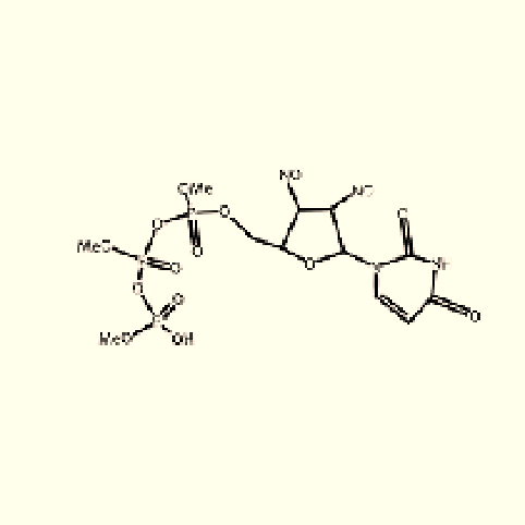 COP(=O)(O)OP(=O)(OC)OP(=O)(OC)OCC1OC(n2ccc(=O)[nH]c2=O)C(N=O)C1N=O